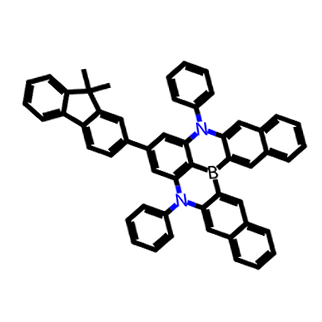 CC1(C)c2ccccc2-c2ccc(-c3cc4c5c(c3)N(c3ccccc3)c3cc6ccccc6cc3B5c3cc5ccccc5cc3N4c3ccccc3)cc21